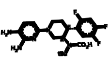 CC(C)(C)N(C(=O)O)[C@H]1CN(c2ccc(N)c(N)n2)CC[C@@H]1c1cc(F)c(F)cc1F